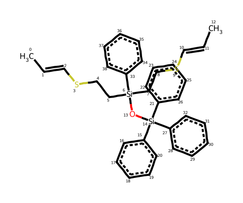 CC=CSCC[Si](CCSC=CC)(O[Si](c1ccccc1)(c1ccccc1)c1ccccc1)c1ccccc1